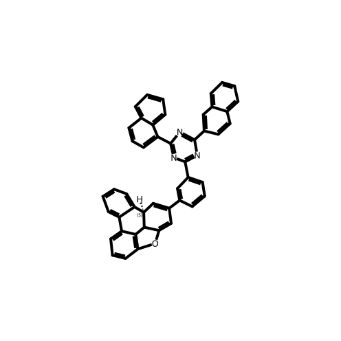 C1=C(c2cccc(-c3nc(-c4ccc5ccccc5c4)nc(-c4cccc5ccccc45)n3)c2)C=C2Oc3cccc4c3C2[C@H]1c1ccccc1-4